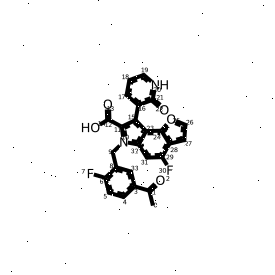 CC(=O)c1ccc(F)c(Cn2c(C(=O)O)c(-c3ccc[nH]c3=O)c3c4occc4c(F)cc32)c1